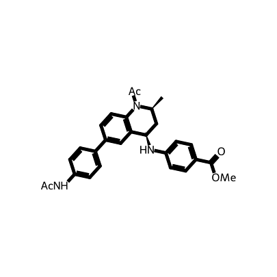 COC(=O)c1ccc(N[C@@H]2C[C@H](C)N(C(C)=O)c3ccc(-c4ccc(NC(C)=O)cc4)cc32)cc1